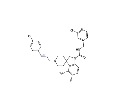 Cc1c(F)ccc2c1C1(CCN(C/C=C/c3ccc(Cl)cc3)CC1)CN2C(=O)NCc1ccnc(Cl)c1